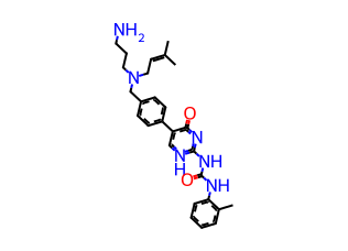 CC(C)=CCN(CCCN)Cc1ccc(-c2c[nH]c(NC(=O)Nc3ccccc3C)nc2=O)cc1